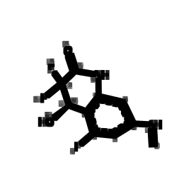 C=[SH]c1cc(F)c2c(c1)NC(=O)C(F)(F)[C@@H]2O